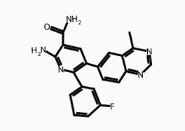 Cc1ncnc2ccc(-c3cc(C(N)=O)c(N)nc3-c3cccc(F)c3)cc12